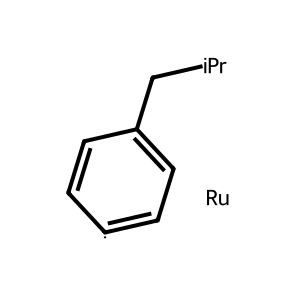 CC(C)Cc1cc[c]cc1.[Ru]